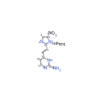 CCCCCn1c([N+](=O)[O-])cnc1C=Cc1ccnc(N)n1